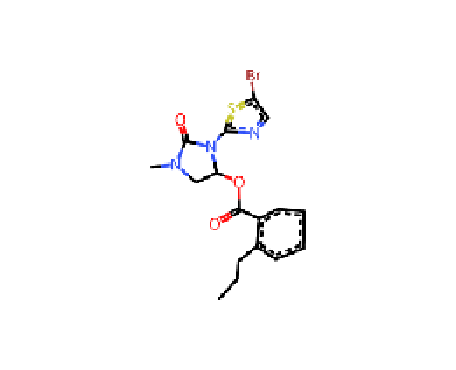 CCCc1ccccc1C(=O)OC1CN(C)C(=O)N1c1ncc(Br)s1